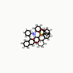 c1ccc(N(c2ccccc2-c2cccc3cccc(C4CCCCC4)c23)c2cccc3c2sc2ccccc23)c(-c2cccc3ccccc23)c1